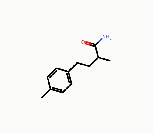 Cc1ccc(CCC(C)C(N)=O)cc1